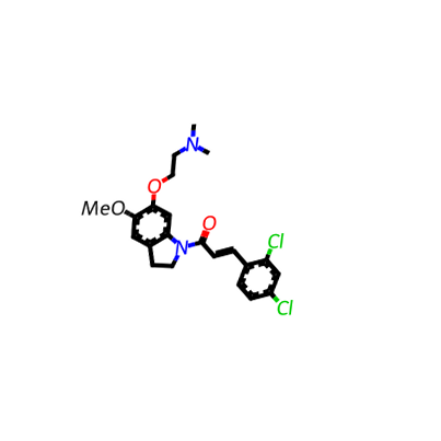 COc1cc2c(cc1OCCN(C)C)N(C(=O)C=Cc1ccc(Cl)cc1Cl)CC2